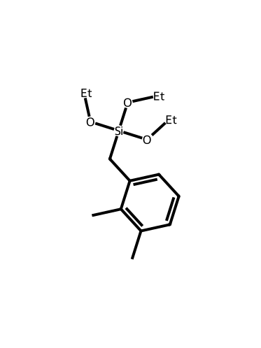 CCO[Si](Cc1cccc(C)c1C)(OCC)OCC